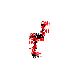 CO[C@H](C(=O)[C@@H](O)[C@@H](C)O)[C@@H]1Cc2cc3cc(OC(C)OC(C)[C@@H](O)CO[C@H]4CC(O)[C@H](O)C(C)O4)c(C)c(O)c3c(O)c2C(=O)[C@H]1OC(C)OC(C)[C@@H](O)COC(C)OC(C)[C@H](O)COCOC(C)[C@@H](OC(C)=O)C(C)(C)O